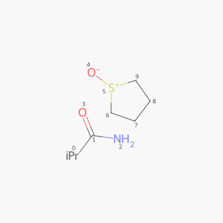 CC(C)C(N)=O.[O-][S+]1CCCC1